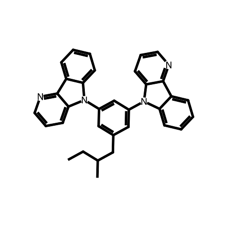 CCC(C)Cc1cc(-n2c3ccccc3c3ncccc32)cc(-n2c3ccccc3c3ncccc32)c1